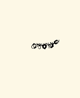 O=C(CN1CCOCC1)Nc1cccc(Nc2nccc(-c3ccncc3)n2)c1